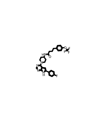 O=C(CCCc1ccc(OC(F)(F)F)cc1)NC1CCN(c2ncnc3[nH]c(-c4ccc(F)cc4)cc23)CC1